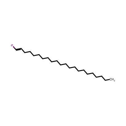 CCCCCCCCCCCCCCCCCCCCC=C[P]